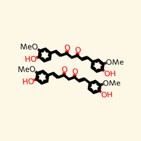 COc1cc(/C=C/C(=O)CC(=O)/C=C/c2ccc(O)c(OC)c2)ccc1O.COc1cc(/C=C/C(=O)CC(=O)/C=C/c2ccc(O)c(OC)c2)ccc1O